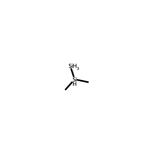 C[SiH](C)[SiH3]